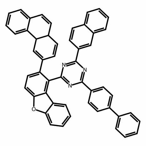 C1=CC2C=Cc3ccccc3C2C=C1c1ccc2oc3ccccc3c2c1-c1nc(-c2ccc(-c3ccccc3)cc2)nc(-c2ccc3ccccc3c2)n1